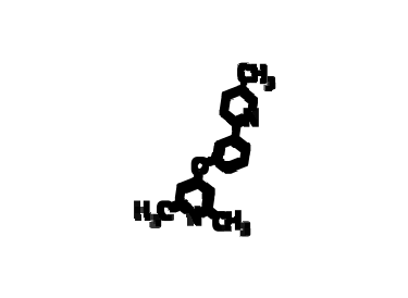 Cc1cc(Oc2cccc(C3=NC[C@@H](C)CC3)c2)cc(C)n1